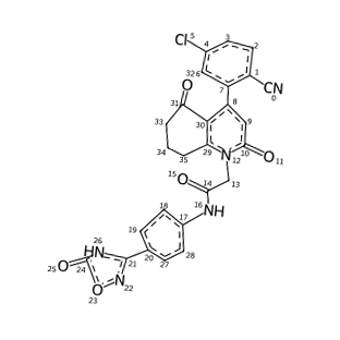 N#Cc1ccc(Cl)cc1-c1cc(=O)n(CC(=O)Nc2ccc(-c3noc(=O)[nH]3)cc2)c2c1C(=O)CCC2